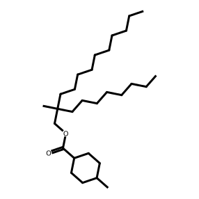 CCCCCCCCCCC(C)(CCCCCCCC)COC(=O)C1CCC(C)CC1